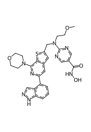 COCCN(Cc1cc2cc(-c3cccc4[nH]ncc34)nc(N3CCOCC3)c2s1)c1ncc(C(=O)NO)cn1